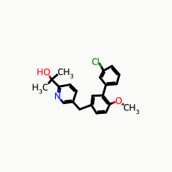 COc1ccc(Cc2ccc(C(C)(C)O)nc2)cc1-c1cccc(Cl)c1